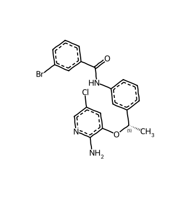 C[C@H](Oc1cc(Cl)cnc1N)c1cccc(NC(=O)c2cccc(Br)c2)c1